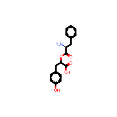 N[C@@H](Cc1ccccc1)C(=O)OC(Cc1ccc(O)cc1)C(=O)O